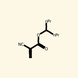 C=C(C#N)C(=O)OC(CCC)CCC